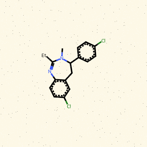 CCC1=Nc2ccc(Cl)cc2CC(c2ccc(Cl)cc2)N1C